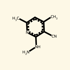 Cc1cc(C)c(C#N)c(NN)n1